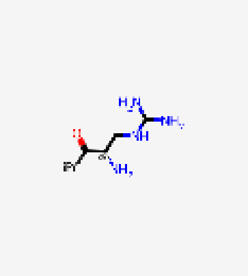 CC(C)C(=O)[C@@H](N)CNC(N)N